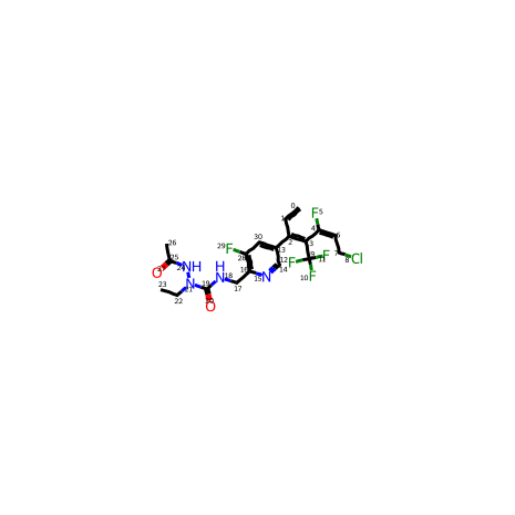 C=C/C(=C(\C(F)=C/CCl)C(F)(F)F)c1cnc(CNC(=O)N(CC)NC(C)=O)c(F)c1